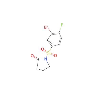 O=C1CCCN1S(=O)(=O)c1ccc(F)c(Br)c1